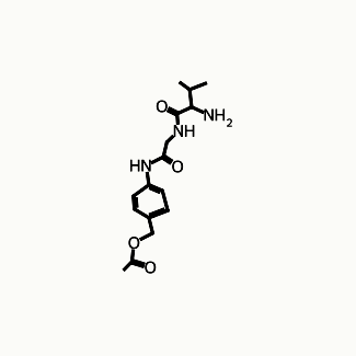 CC(=O)OCc1ccc(NC(=O)CNC(=O)C(N)C(C)C)cc1